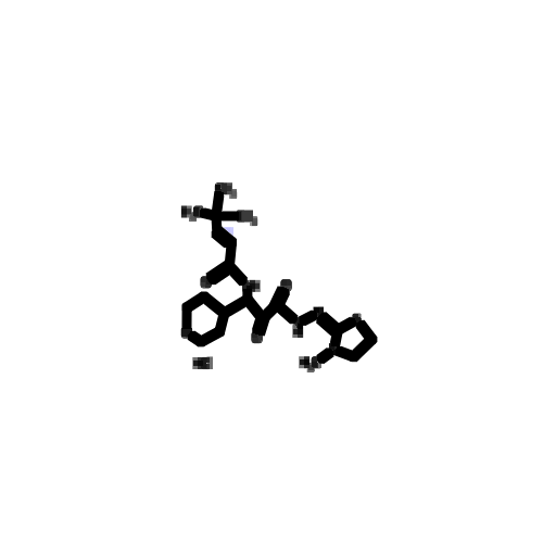 CN1CCSC1=NNC(=O)C(=O)C(NC(=O)/C=C/C(C)(C)C)C1CCOCC1.Cl